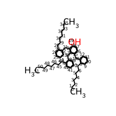 CCCCCCCCc1ccccc1Cc1ccc(O)c(Cc2ccccc2CCCCCCCC)c1Cc1ccccc1CCCCCCCC